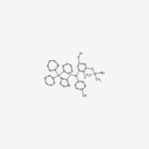 CCOc1cc(O[Si](C)(C)C(C)(C)C)c(F)c(N(Cc2nccn2C(c2ccccc2)(c2ccccc2)c2ccccc2)c2ccc(C#N)cc2)c1